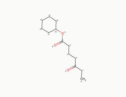 CCC(=O)CCCC(=O)OC1CCCCC1